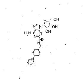 Nc1nc(N/N=C/c2ccc(-n3ccnc3)cc2)nc2c1ncn2[C@@H]1O[C@H](CO)[C@H](O)[C@@H]1O